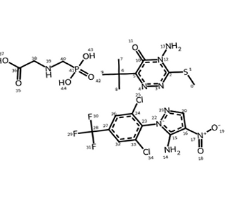 CSc1nnc(C(C)(C)C)c(=O)n1N.Nc1c([N+](=O)[O-])cnn1-c1c(Cl)cc(C(F)(F)F)cc1Cl.O=C(O)CNCP(=O)(O)O